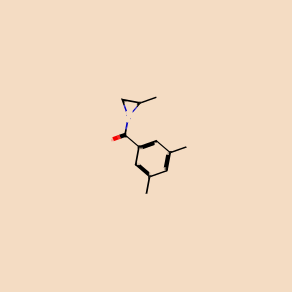 Cc1cc(C)cc(C(=O)N2CC2C)c1